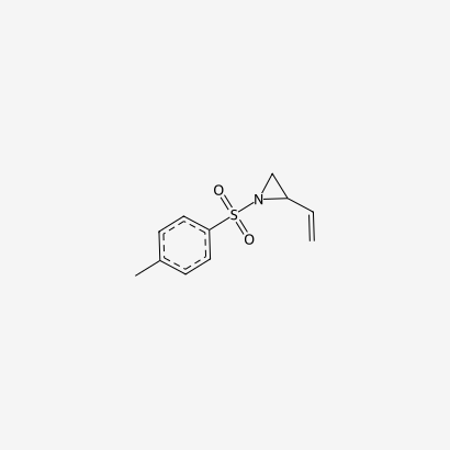 C=CC1CN1S(=O)(=O)c1ccc(C)cc1